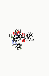 CNC(=O)c1c(-c2ccc(C)cc2)oc2cc(N(C)S(C)(=O)=O)c(-c3cc(F)c4ncn(-c5ccc(F)cc5)c4c3)cc12